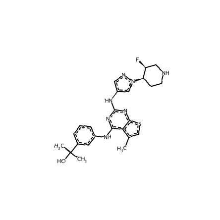 Cc1csc2nc(Nc3cnn([C@@H]4CCNC[C@@H]4F)c3)nc(Nc3cccc(C(C)(C)O)c3)c12